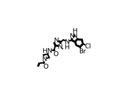 C=CC(=O)N1CC(NC(=O)c2cnc(CNc3n[nH]c4cc(Cl)c(Br)cc34)n2C)C1